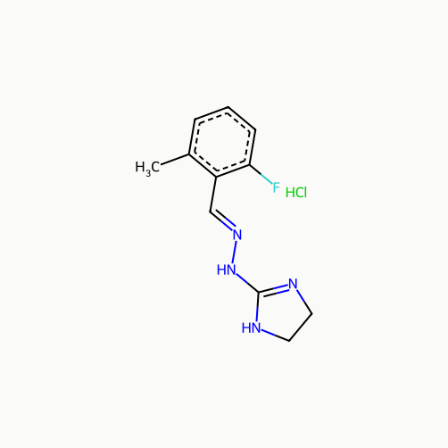 Cc1cccc(F)c1C=NNC1=NCCN1.Cl